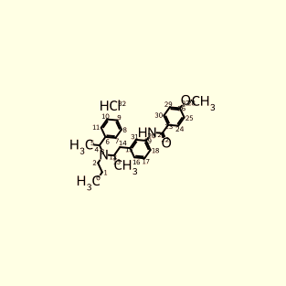 CCCN(C(C)c1ccccc1)[C@H](C)Cc1cccc(NC(=O)c2ccc(OC)cc2)c1.Cl